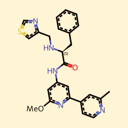 COc1cc(NC(=O)[C@H](Cc2ccccc2)NCc2cscn2)cc(-c2ccnc(C)c2)n1